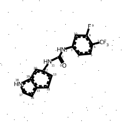 O=C(Nc1ccc(C(F)(F)F)c(F)c1)Nc1ccc2cc[nH]c2c1